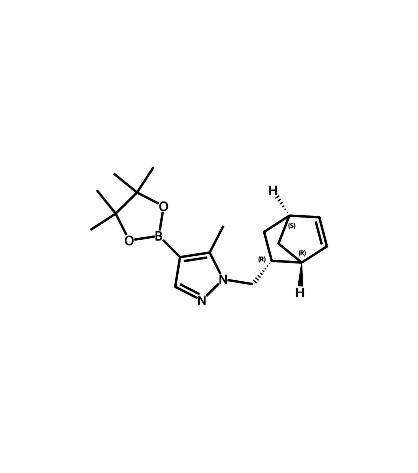 Cc1c(B2OC(C)(C)C(C)(C)O2)cnn1C[C@@H]1C[C@H]2C=C[C@H]1C2